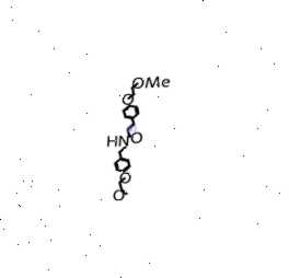 COCCOc1ccc(/C=C/C(=O)NCCc2ccc(OCC3CO3)cc2)cc1